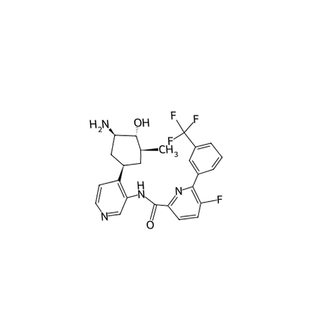 C[C@H]1C[C@@H](c2ccncc2NC(=O)c2ccc(F)c(-c3cccc(C(F)(F)F)c3)n2)C[C@@H](N)[C@@H]1O